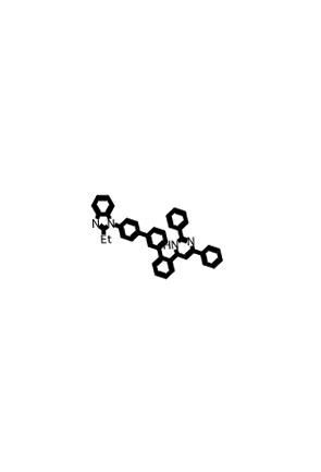 CCc1nc2ccccc2n1-c1ccc(-c2cccc(-c3ccccc3C3C=C(c4ccccc4)N=C(c4ccccc4)N3)c2)cc1